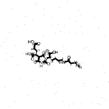 [N-]=[N+]=NCC(=O)NCCCC[C@@H](C(=O)O)N1C(=O)NC(=O)C([C@H](CCC(=O)O)C(=O)O)C1=O